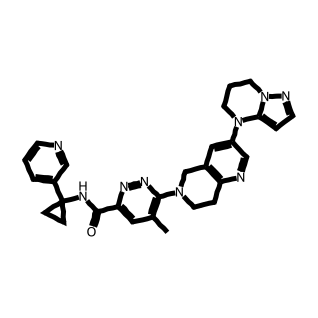 Cc1cc(C(=O)NC2(c3cccnc3)CC2)nnc1N1CCc2ncc(N3CCCn4nccc43)cc2C1